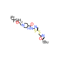 CC(C)C(C)(C)[SiH2]OCCN1CCC(C(=O)Nc2ncc(SCc3ncc(C(C)(C)C)o3)s2)CC1